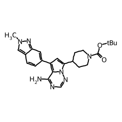 Cn1cc2ccc(-c3cc(C4CCN(C(=O)OC(C)(C)C)CC4)n4ncnc(N)c34)cc2n1